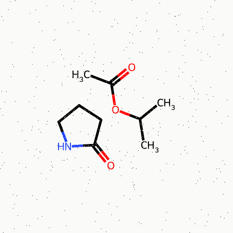 CC(=O)OC(C)C.O=C1CCCN1